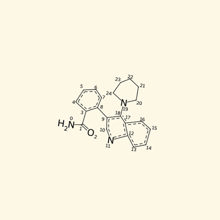 NC(=O)c1ccccc1-c1cnc2ccccc2c1N1CCCCC1